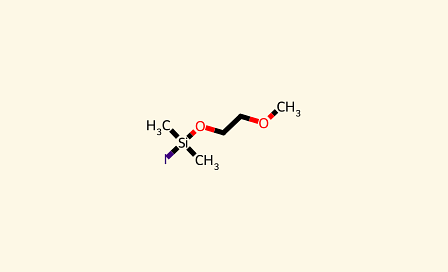 COCCO[Si](C)(C)I